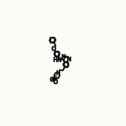 O=S1(=O)CCN(CCc2ccc3ncnc(Nc4ccc(OCc5ccccc5)cc4)c3c2)CC1